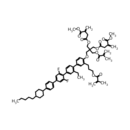 C=C(C)C(=O)OCCCc1cc(-c2ccc(-c3c(F)cc(-c4ccc(C5CCC(CCCCC)CC5)cc4)cc3F)cc2CC)ccc1OCC(COC(=O)CC(=C)C(=O)OC)(COC(=O)CC(=C)C(=O)OC)COC(=O)C(=C)C